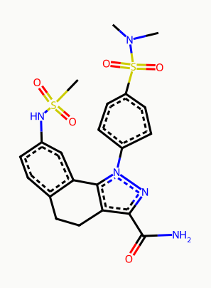 CN(C)S(=O)(=O)c1ccc(-n2nc(C(N)=O)c3c2-c2cc(NS(C)(=O)=O)ccc2CC3)cc1